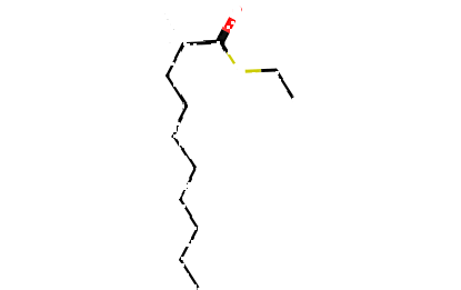 CCCCCCCC[C@H](C)C(=O)SCC